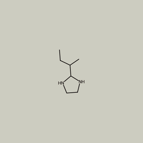 CCC(C)C1NCCN1